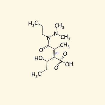 CCCN(C(=O)/C(C)=C(\C(O)CC)S(=O)(=O)O)N(C)C